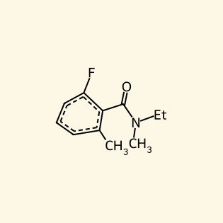 CCN(C)C(=O)c1c(C)cccc1F